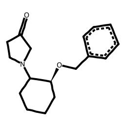 O=C1CCN(C2CCCC[C@@H]2OCc2ccccc2)C1